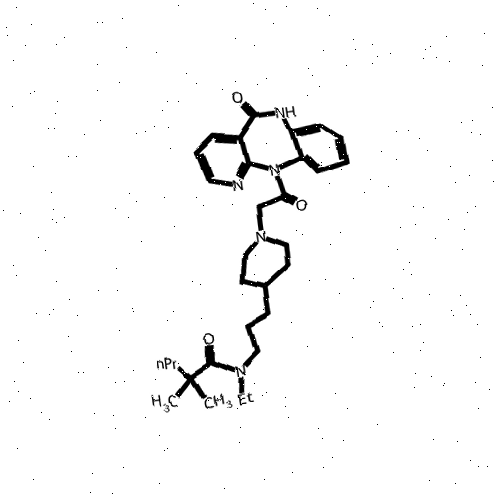 CCCC(C)(C)C(=O)N(CC)CCCC1CCN(CC(=O)N2c3ccccc3NC(=O)c3cccnc32)CC1